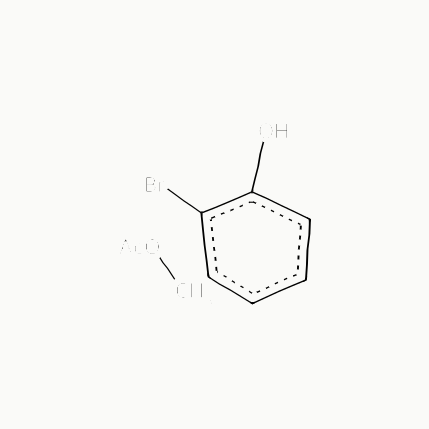 COC(C)=O.Oc1ccccc1Br